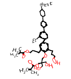 C=C(C)C(=O)OCCCc1cc(-c2ccc(-c3ccc(C4CCC(CCCCC)CC4)cc3)cc2CC)cc(CCCO)c1OCC(CO)(CO)COC(=O)C(=C)C